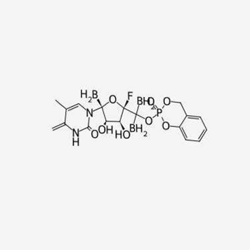 BC(B)(OP1(=O)OCc2ccccc2O1)[C@@]1(F)O[C@@](B)(N2C=C(C)C(=C)NC2=O)[C@H](O)[C@@H]1O